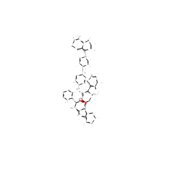 c1ccc(N(c2ccc(-c3ccc(-c4cccc5ccccc45)cc3)cc2)c2cccc3oc4ccccc4c23)c(-c2ccc3c(c2)sc2ccccc23)c1